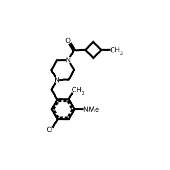 CNc1cc(Cl)cc(CN2CCN(C(=O)C3CC(C)C3)CC2)c1C